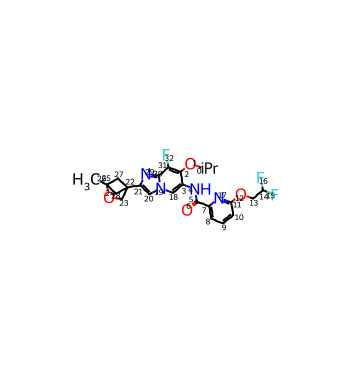 CC(C)Oc1c(NC(=O)c2cccc(OCC(F)F)n2)cn2cc(C34COC(C)(C3)C4)nc2c1F